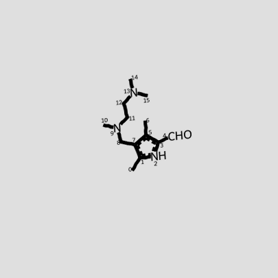 Cc1[nH]c(C=O)c(C)c1CN(C)CCN(C)C